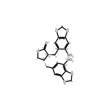 O=C1OC[C@@H](Cc2cc3c(c([N+](=O)[O-])c2)OCO3)[C@@H]1Cc1cc2c(cc1[N+](=O)[O-])OCO2